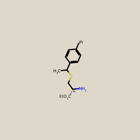 CCOC(=O)[C@@H](N)CSC(C)c1ccc(C(C)C)cc1